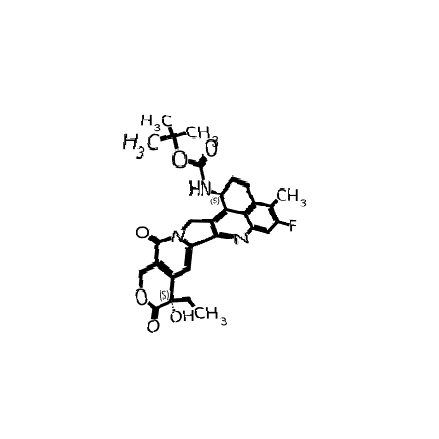 CC[C@@]1(O)C(=O)OCc2c1cc1n(c2=O)Cc2c-1nc1cc(F)c(C)c3c1c2[C@@H](NC(=O)OC(C)(C)C)CC3